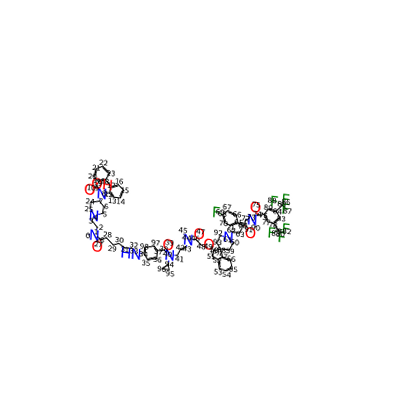 CN(CCN1CCC(N(C(=O)O)c2ccccc2-c2ccccc2)CC1)C(=O)CCCCCNc1ccc(C(=O)N(CCCN(C)C(=O)CO[C@H]2Cc3ccccc3C23CCN(CC[C@@]2(c4ccc(F)cc4)CN(C(=O)c4cc(C(F)(F)F)cc(C(F)(F)F)c4)CO2)CC3)C2CC2)cc1